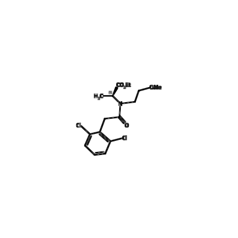 CCOC(=O)[C@H](C)N(CCOC)C(=O)Cc1c(Cl)cccc1Cl